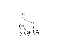 CCO[N+](=O)[O-].O=[N+]([O-])O.[AlH3].[Zn]